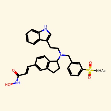 CC(=O)NS(=O)(=O)c1cccc(CN(CCc2c[nH]c3ccccc23)C2CCc3cc(C=CC(=O)NO)ccc32)c1